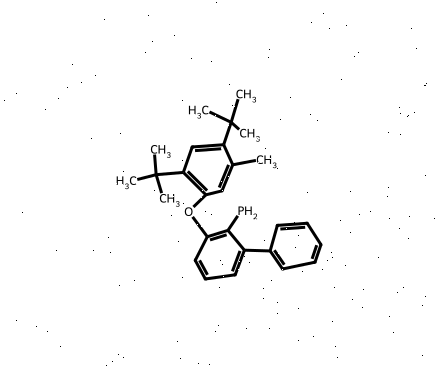 Cc1cc(Oc2cccc(-c3ccccc3)c2P)c(C(C)(C)C)cc1C(C)(C)C